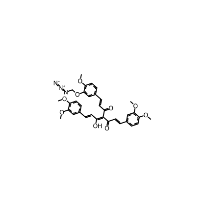 COc1ccc(/C=C/C(=O)/C(C(=O)/C=C/c2ccc(OC)c(OCN=[N+]=[N-])c2)=C(O)/C=C/c2ccc(OC)c(OC)c2)cc1OC